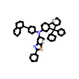 c1ccc(-c2nc3cc(N(c4ccc(-c5cccc6ccccc56)cc4)c4ccc5c(c4)C(c4ccccc4)(c4ccccc4)c4ccccc4-5)ccc3s2)cc1